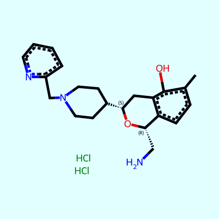 Cc1ccc2c(c1O)C[C@@H](C1CCN(Cc3ccccn3)CC1)O[C@H]2CN.Cl.Cl